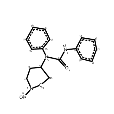 O=NN1CCC(N(C(=O)Nc2ccccc2)c2ccccc2)CC1